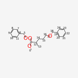 COC(OOCc1ccccc1)C(C)CCCOCc1ccccc1